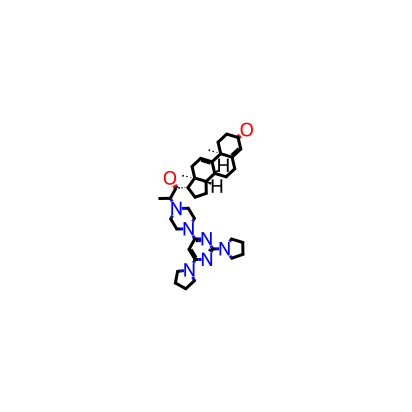 CC(C(=O)[C@H]1CC[C@H]2[C@@H]3CCC4=CC(=O)CC[C@]4(C)C3=CC[C@]12C)N1CCN(c2cc(N3CCCC3)nc(N3CCCC3)n2)CC1